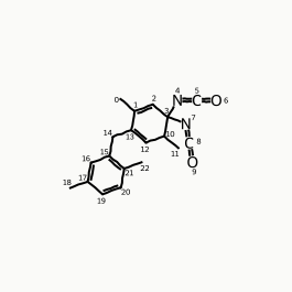 CC1=CC(N=C=O)(N=C=O)C(C)C=C1Cc1cc(C)ccc1C